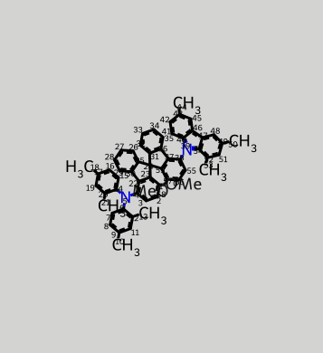 COc1ccc(N(c2ccc(C)cc2C)c2ccc(C)cc2C)c2c1C1(c3ccccc3-2)c2ccccc2-c2c(-n3c4ccc(C)cc4c4cc(C)cc(C)c43)ccc(OC)c21